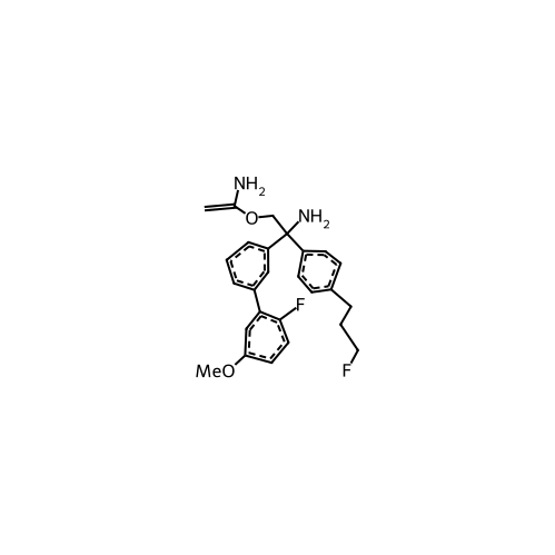 C=C(N)OCC(N)(c1ccc(CCCF)cc1)c1cccc(-c2cc(OC)ccc2F)c1